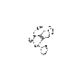 CCn1c(=O)nc(-c2ccccc2)c2cc3c(cc21)OCC3